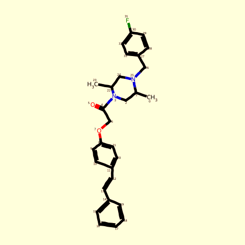 CC1CN(C(=O)COc2ccc(C=Cc3ccccc3)cc2)C(C)CN1Cc1ccc(F)cc1